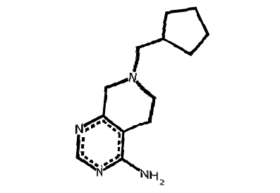 Nc1ncnc2c1CCN(CC1CCCC1)C2